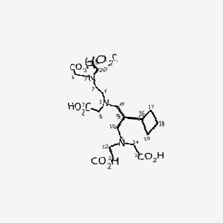 O=C(O)CN(CCN(CC(=O)O)CC(CN(CC(=O)O)CC(=O)O)C1CCC1)CC(=O)O